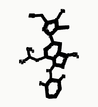 CCn1c(CO)nn(-c2cc(OC(C)C(F)(F)F)c3c(Nc4c(F)cccc4Cl)nn(C)c3c2)c1=O